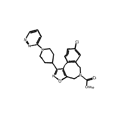 COC(=O)N1Cc2cc(Cl)ccc2-c2c(C3CCN(c4cccnn4)CC3)noc2C1